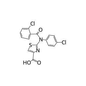 O=C(O)c1csc(N(C(=O)c2ccccc2Cl)c2ccc(Cl)cc2)n1